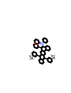 C[Si](C)(C)c1cccc(-c2c3ccccc3c(-c3cccc([Si](C)(C)C)c3)c3cc4c(cc23)c(-c2ccccc2)c(N(c2ccccc2)c2ccccc2)c2ccccc24)c1